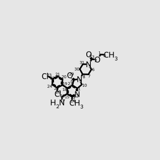 CCOC(=O)N1CCC(N2Cc3nc(C)c(CN)c(-c4ccc(Cl)cc4Cl)c3C2=O)CC1